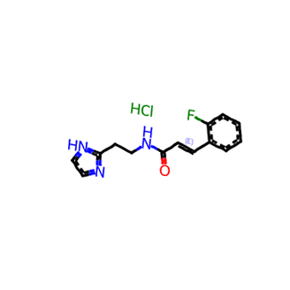 Cl.O=C(/C=C/c1ccccc1F)NCCc1ncc[nH]1